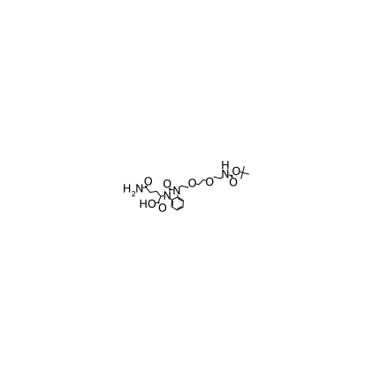 CC(C)(C)OC(=O)NCCOCCOCCn1c(=O)n(C(CCC(N)=O)C(=O)O)c2ccccc21